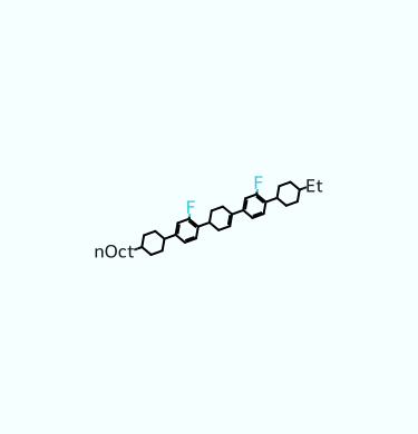 CCCCCCCCC1CCC(c2ccc(C3CC=C(c4ccc(C5CCC(CC)CC5)c(F)c4)CC3)c(F)c2)CC1